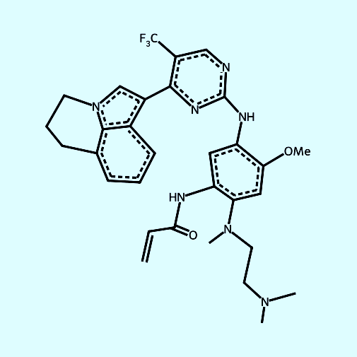 C=CC(=O)Nc1cc(Nc2ncc(C(F)(F)F)c(-c3cn4c5c(cccc35)CCC4)n2)c(OC)cc1N(C)CCN(C)C